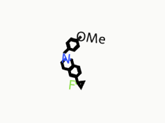 COc1ccc(CN2CCc3cc(C4(F)CC4)ccc3C2)cc1